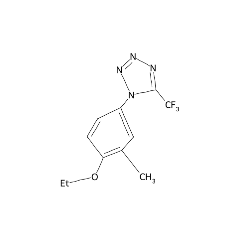 CCOc1ccc(-n2nnnc2C(F)(F)F)cc1C